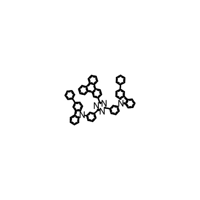 c1ccc(-c2ccc3c(c2)c2ccccc2n3-c2cccc(-c3nc(-c4cccc(-n5c6ccccc6c6cc(-c7ccccc7)ccc65)c4)nc(-c4ccc5c6ccccc6c6ccccc6c5c4)n3)c2)cc1